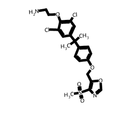 CC(C)(c1ccc(OCc2ocnc2S(C)(=O)=O)cc1)c1cc(Cl)c(OCCN)c(Cl)c1